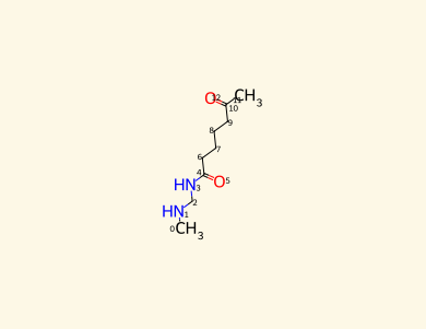 CNCNC(=O)CCCCC(C)=O